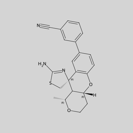 C[C@H]1OCC[C@H]2Oc3ccc(-c4cccc(C#N)c4)cc3[C@@]3(CSC(N)=N3)C12